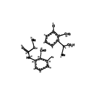 CC(C)(C)N(C(=O)O)c1ccnc(Cl)c1C=O.Cc1nccc(NC(=O)OC(C)(C)C)c1C=O